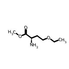 CCOCC[C@@H](N)C(=O)OC